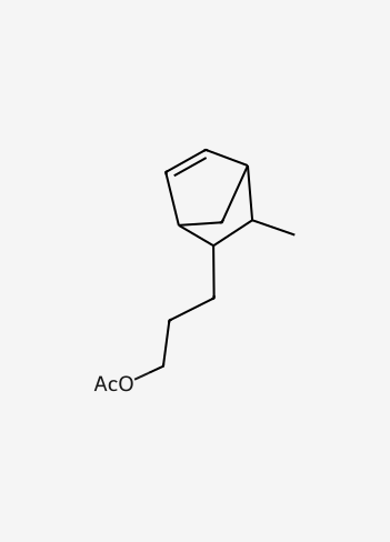 CC(=O)OCCCC1C2C=CC(C2)C1C